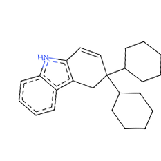 C1=CC(C2CCCCC2)(C2CCCCC2)Cc2c1[nH]c1ccccc21